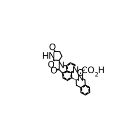 O=C1CCC(N2C(=O)c3ccc([C@@H]4Cc5ccccc5CN4OC(=O)O)c4nccc2c34)C(=O)N1